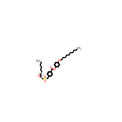 CCCCCCCCCCOc1ccc(OC(=O)c2ccc(CS(=O)(=O)C[C@H]3O[C@H]3CCCCCC)cc2)cc1